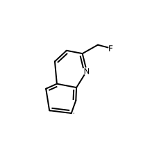 FCc1ccc2cc[c]cc2n1